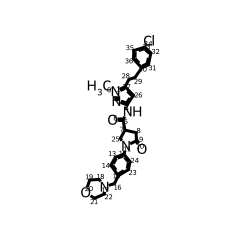 Cn1nc(NC(=O)C2CC(=O)N(c3ccc(CN4CCOCC4)cc3)C2)cc1CCc1ccc(Cl)cc1